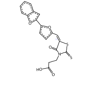 O=C(O)CCN1C(=O)/C(=C\c2ccc(-c3cc4ccccc4o3)o2)SC1=S